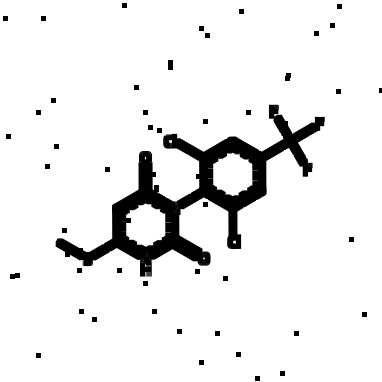 CSc1cc(=O)n(-c2c(Cl)cc(C(F)(F)F)cc2Cl)c(=O)[nH]1